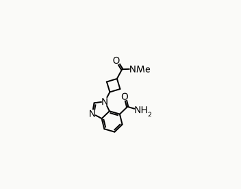 CNC(=O)C1CC(n2cnc3cccc(C(N)=O)c32)C1